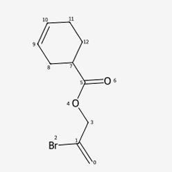 C=C(Br)COC(=O)C1CC=CCC1